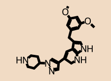 COc1cc(Cc2c[nH]c3c2C=C(c2cnn(C4CCNCC4)c2)CN3)cc(OC)c1